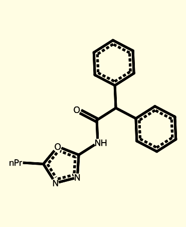 CCCc1nnc(NC(=O)C(c2ccccc2)c2ccccc2)o1